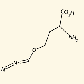 [N-]=[N+]=COCCC(N)C(=O)O